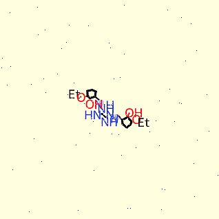 CCOc1cccc(/C=N/NC(=N)C(=N)N/N=C/c2cccc(OCC)c2O)c1O